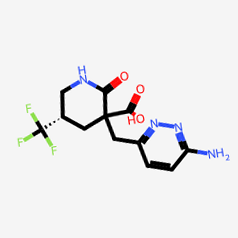 Nc1ccc(CC2(C(=O)O)C[C@H](C(F)(F)F)CNC2=O)nn1